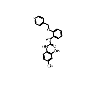 N#Cc1ccc(NC(=O)Nc2ccccc2OCc2ccncc2)c(O)c1